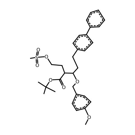 COc1ccc(COC(CCc2ccc(-c3ccccc3)cc2)C(CCOS(C)(=O)=O)C(=O)OC(C)(C)C)cc1